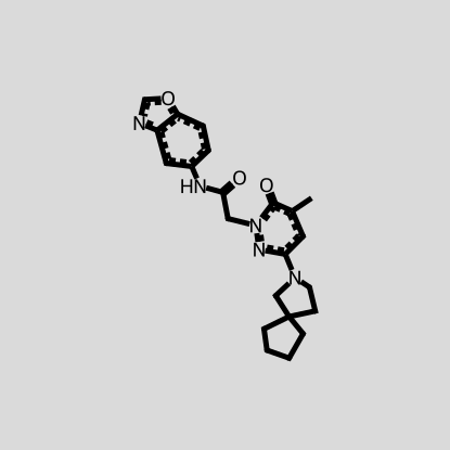 Cc1cc(N2CCC3(CCCC3)C2)nn(CC(=O)Nc2ccc3ocnc3c2)c1=O